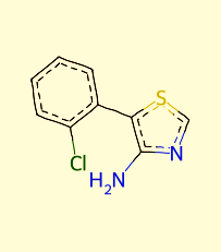 Nc1ncsc1-c1ccccc1Cl